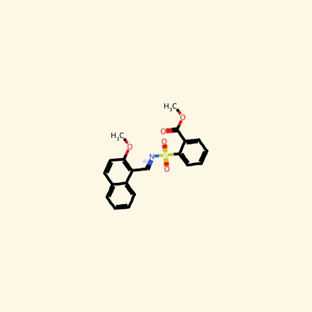 COC(=O)c1ccccc1S(=O)(=O)/N=C/c1c(OC)ccc2ccccc12